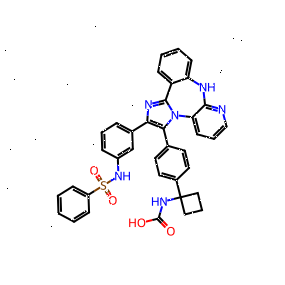 O=C(O)NC1(c2ccc(-c3c(-c4cccc(NS(=O)(=O)c5ccccc5)c4)nc4n3-c3cccnc3Nc3ccccc3-4)cc2)CCC1